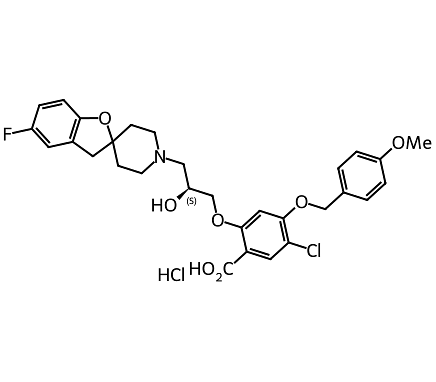 COc1ccc(COc2cc(OC[C@@H](O)CN3CCC4(CC3)Cc3cc(F)ccc3O4)c(C(=O)O)cc2Cl)cc1.Cl